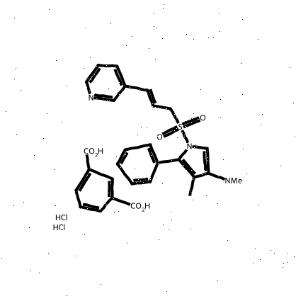 CNc1cn(S(=O)(=O)CC=Cc2cccnc2)c(-c2ccccc2)c1C.Cl.Cl.O=C(O)c1cccc(C(=O)O)c1